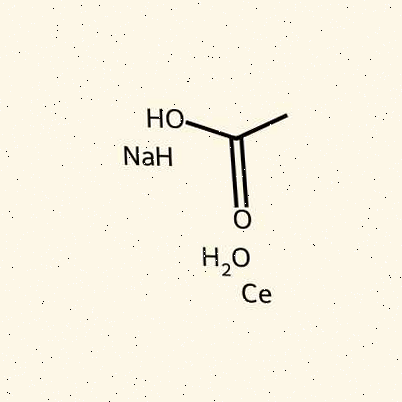 CC(=O)O.O.[Ce].[NaH]